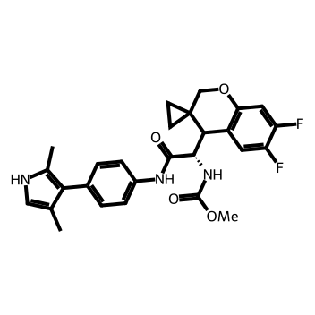 COC(=O)N[C@H](C(=O)Nc1ccc(-c2c(C)c[nH]c2C)cc1)C1c2cc(F)c(F)cc2OCC12CC2